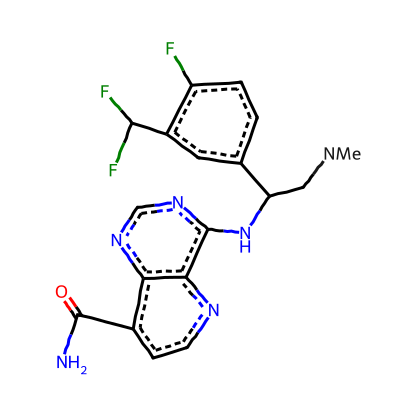 CNCC(Nc1ncnc2c(C(N)=O)ccnc12)c1ccc(F)c(C(F)F)c1